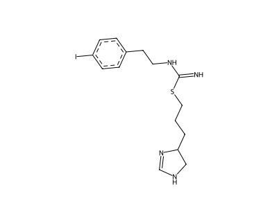 N=C(NCCc1ccc(I)cc1)SCCCC1CNC=N1